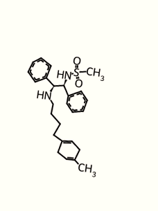 CC1=CCC(CCCCN[C@@H](c2ccccc2)[C@@H](NS(C)(=O)=O)c2ccccc2)=CC1